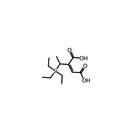 CC[Si](CC)(CC)C(C)C(=CC(=O)O)C(=O)O